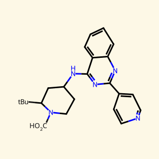 CC(C)(C)C1CC(Nc2nc(-c3ccncc3)nc3ccccc23)CCN1C(=O)O